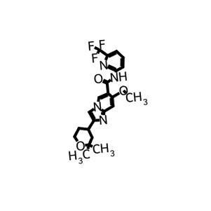 COc1cc2nc(C3CCOC(C)(C)C3)cn2cc1C(=O)Nc1cccc(C(F)(F)F)n1